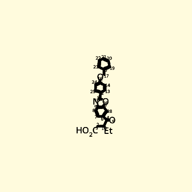 CCC(CC(=O)O)C(=O)c1ccc2nc(-c3ccc(OCc4ccccc4)cc3)oc2c1